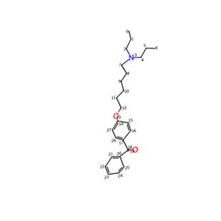 CCCN(CCC)CCCCCCOc1ccc(C(=O)c2ccccc2)cc1